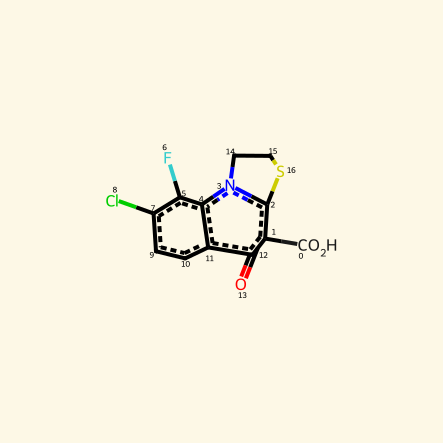 O=C(O)c1c2n(c3c(F)c(Cl)ccc3c1=O)CCS2